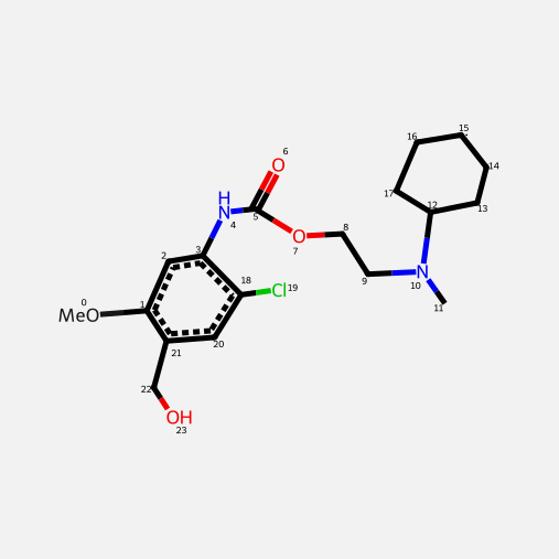 COc1cc(NC(=O)OCCN(C)C2CC[CH]CC2)c(Cl)cc1CO